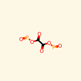 O=POC(=O)C(=O)OP=O